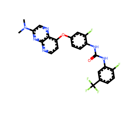 CN(C)c1cnc2c(Oc3ccc(NC(=O)Nc4cc(C(F)(F)F)ccc4F)c(F)c3)ccnc2n1